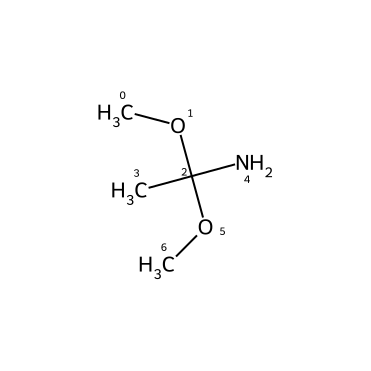 COC(C)(N)OC